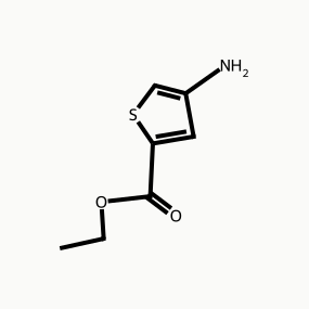 CCOC(=O)c1cc(N)cs1